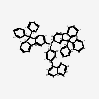 c1ccc(C2(c3ccccc3)c3ccccc3-c3cc(N(c4ccc(-c5cccc6ccccc56)cc4)c4ccc5c(c4)C(c4ccccc4)(c4ccccc4)c4ccccc4-5)ccc32)cc1